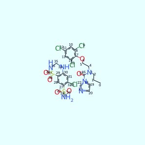 CCCN(CCOc1c(Cl)cc(Cl)cc1Cl)C(=O)n1ccnc1.NS(=O)(=O)c1cc2c(cc1Cl)NCNS2(=O)=O